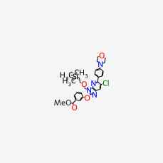 COC(=O)c1cccc(Oc2nc3cc(Cl)c(-c4ccc(N5CCOCC5)cc4)nc3n2COCC[Si](C)(C)C)c1